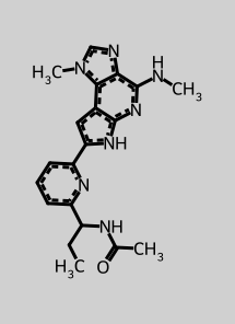 CCC(NC(C)=O)c1cccc(-c2cc3c(nc(NC)c4ncn(C)c43)[nH]2)n1